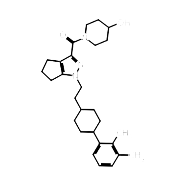 Cc1cccc(C2CCC(CCn3nc(C(=O)N4CCC(O)CC4)c4c3CCC4)CC2)c1C